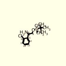 CC(C)(C)[Si](C)(C)OC[C@H](N)c1ccccc1Cl